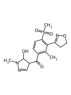 Cc1c(C(=O)C2C=NN(C)C2O)ccc(S(C)(=O)=O)c1C1=NOCC1